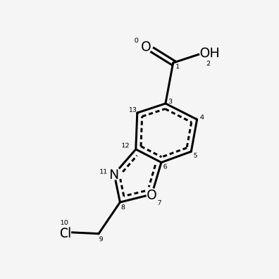 O=C(O)c1ccc2oc(CCl)nc2c1